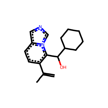 C=C(C)c1ccc2cncn2c1C(O)C1CCCCC1